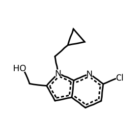 OCc1cc2ccc(Cl)nc2n1CC1CC1